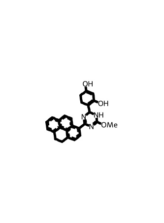 COC1=NC(c2ccc3c4c2ccc2cccc(c24)CC3)=NC(C2=C(O)C=C(O)CC2)N1